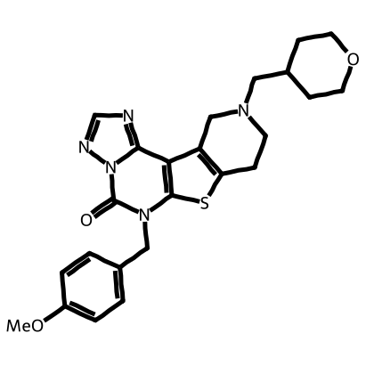 COc1ccc(Cn2c(=O)n3ncnc3c3c4c(sc32)CCN(CC2CCOCC2)C4)cc1